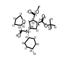 COC(=O)[C@@H]1C[C@@H](N(C(=O)[C@@H]2CCCO2)[C@H]2CC[C@@H](C)CC2)CN1C(=O)OC(C)(C)C